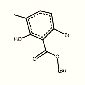 Cc1ccc(Br)c(C(=O)OC(C)(C)C)c1O